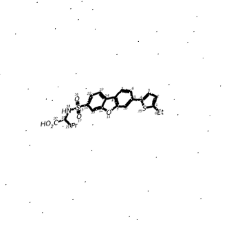 CCc1ccc(-c2ccc3c(c2)oc2cc(S(=O)(=O)N[C@H](C(=O)O)C(C)C)ccc23)s1